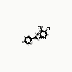 Clc1cnc2nc(-c3ccccn3)nn2c1Cl